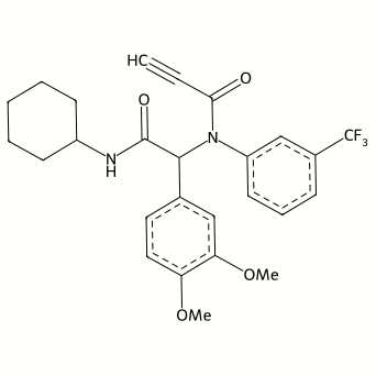 C#CC(=O)N(c1cccc(C(F)(F)F)c1)C(C(=O)NC1CCCCC1)c1ccc(OC)c(OC)c1